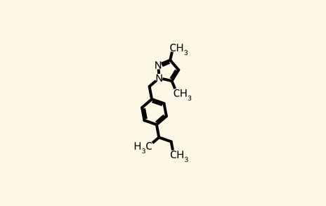 CCC(C)c1ccc(Cn2nc(C)cc2C)cc1